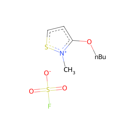 CCCCOc1ccs[n+]1C.O=S(=O)([O-])F